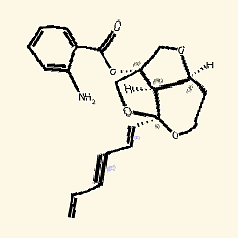 C=C/C=C/C=C/[C@]12OCC[C@@H]3OC[C@](OC(=O)c4ccccc4N)(CO1)[C@@H]32